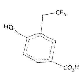 O=C(O)c1ccc(O)c(CC(F)(F)F)c1